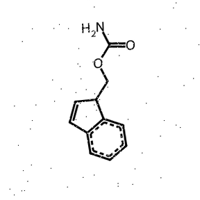 NC(=O)OCC1C=Cc2ccccc21